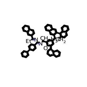 C=C(c1cc(C(=C)/N=C(\N=C(/CC)c2ccc3ccccc3c2)c2ccc(-c3ccccc3)cc2)c2oc3ccc4ccccc4c3c2c1)c1cc2ccccc2cc1-c1c(C)ccc2ccccc12